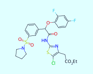 CCOC(=O)Cc1nc(NC(=O)C(Oc2ccc(F)cc2F)c2cccc(S(=O)(=O)N3CCCC3)c2)sc1Cl